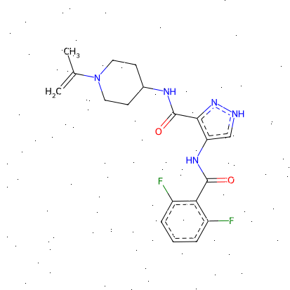 C=C(C)N1CCC(NC(=O)c2n[nH]cc2NC(=O)c2c(F)cccc2F)CC1